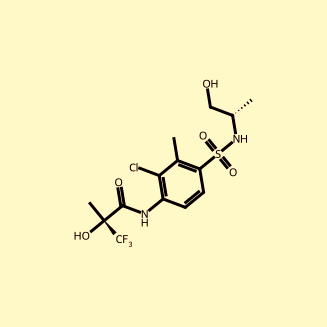 Cc1c(S(=O)(=O)N[C@@H](C)CO)ccc(NC(=O)[C@@](C)(O)C(F)(F)F)c1Cl